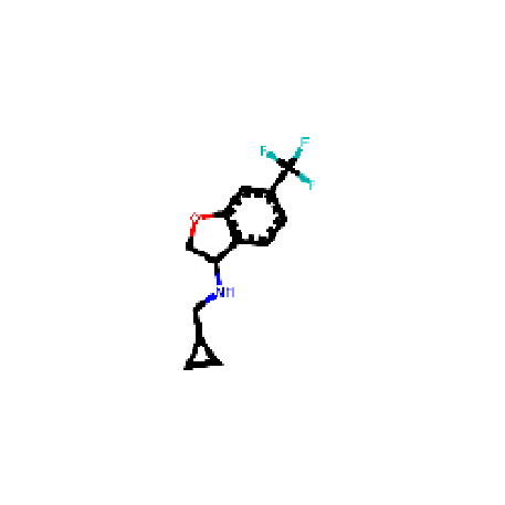 FC(F)(F)c1ccc2c(c1)OCC2NCC1CC1